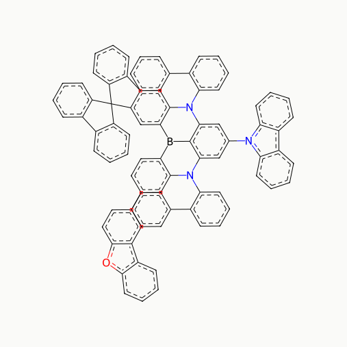 c1ccc(-c2ccccc2N2c3cc(-c4ccc5oc6ccccc6c5c4)ccc3B3c4cc5c(cc4N(c4ccccc4-c4ccccc4)c4cc(-n6c7ccccc7c7ccccc76)cc2c43)-c2ccccc2C52c3ccccc3-c3ccccc32)cc1